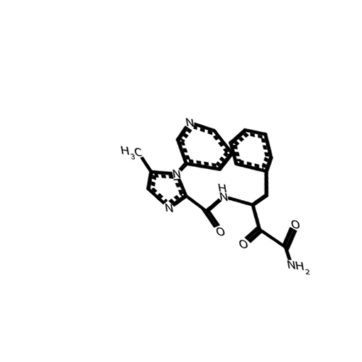 Cc1cnc(C(=O)NC(Cc2ccccc2)C(=O)C(N)=O)n1-c1cccnc1